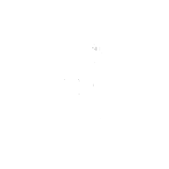 CCCCC(C)(C)CCN